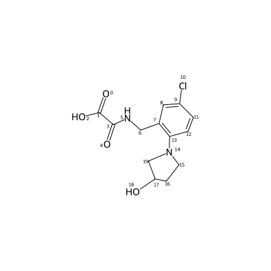 O=C(O)C(=O)NCc1cc(Cl)ccc1N1CCC(O)C1